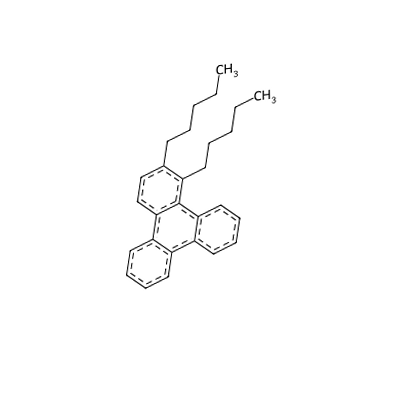 CCCCCc1ccc2c3ccccc3c3ccccc3c2c1CCCCC